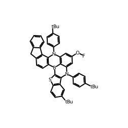 CC(C)(C)c1ccc(N2c3cc(OF)cc4c3B(c3ccc5c(c32)-c2ccccc2C5)c2sc3ccc(C(C)(C)C)cc3c2N4c2ccc(C(C)(C)C)cc2)cc1